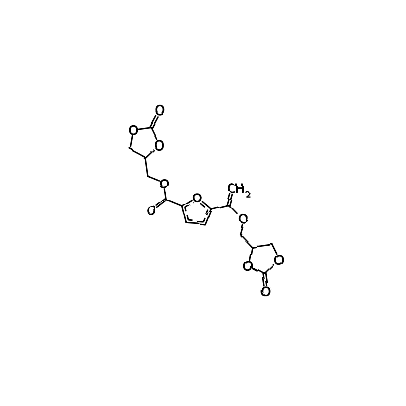 C=C(OCC1COC(=O)O1)c1ccc(C(=O)OCC2COC(=O)O2)o1